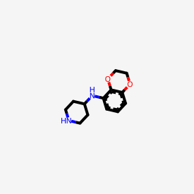 c1cc(NC2CCNCC2)c2c(c1)OCCO2